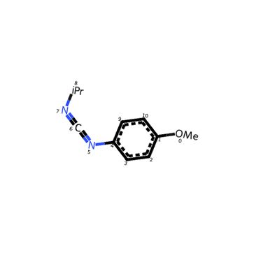 COc1ccc(N=C=NC(C)C)cc1